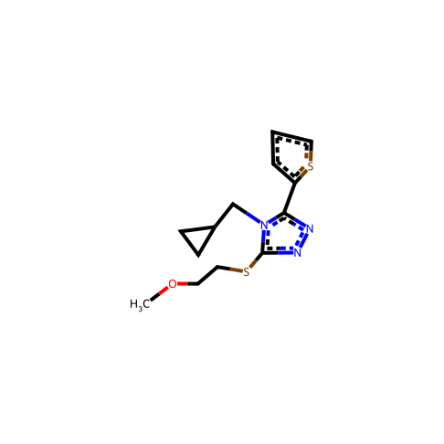 COCCSc1nnc(-c2cccs2)n1CC1CC1